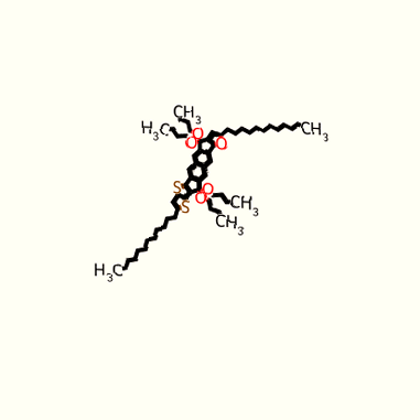 CCCCCCCCCCCCc1cc2c(o1)-c1cc3cc4c(cc3cc1C2(OCCCC)OCCCC)-c1sc2cc(CCCCCCCCCCCC)sc2c1C4(OCCCC)OCCCC